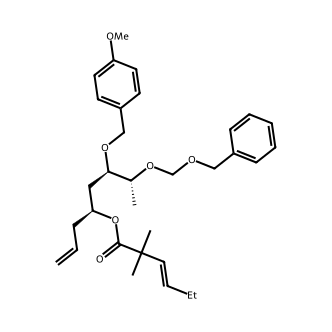 C=CC[C@@H](C[C@@H](OCc1ccc(OC)cc1)[C@@H](C)OCOCc1ccccc1)OC(=O)C(C)(C)/C=C/CC